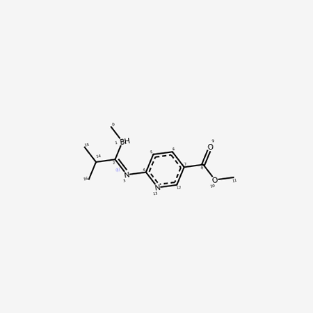 CB/C(=N\c1ccc(C(=O)OC)cn1)C(C)C